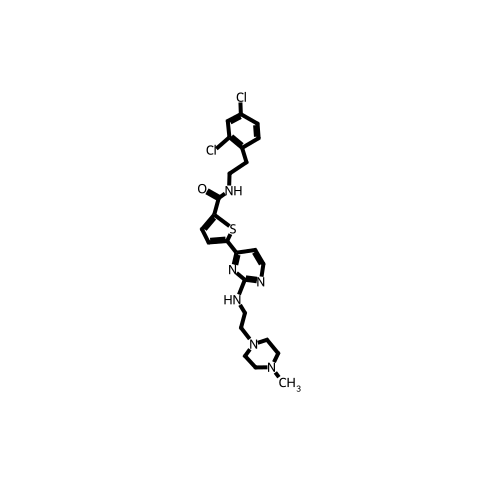 CN1CCN(CCNc2nccc(-c3ccc(C(=O)NCCc4ccc(Cl)cc4Cl)s3)n2)CC1